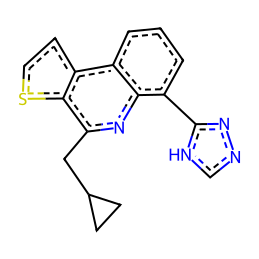 c1cc(-c2nnc[nH]2)c2nc(CC3CC3)c3sccc3c2c1